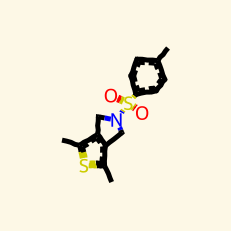 Cc1ccc(S(=O)(=O)N2Cc3c(C)sc(C)c3C2)cc1